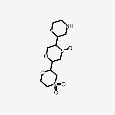 O=S1(=O)CCOC(C2C[S+]([O-])C(C3CNCCS3)CO2)C1